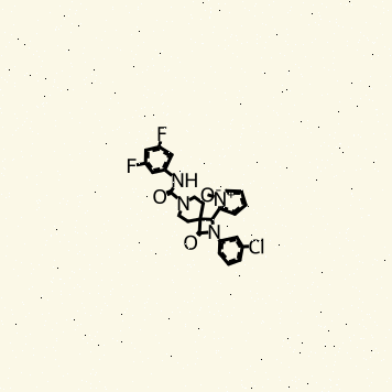 O=C(Nc1cc(F)cc(F)c1)N1CCC2(CC1)C(=O)N(c1cccc(Cl)c1)C2c1cccc[n+]1[O-]